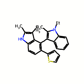 CCn1c(C)c(-c2c(-c3cccs3)ccc3[nH]c(C)c(C)c23)c2ccccc21